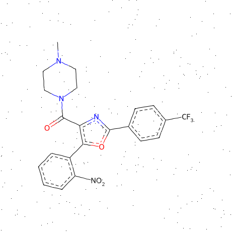 CN1CCN(C(=O)c2nc(-c3ccc(C(F)(F)F)cc3)oc2-c2ccccc2[N+](=O)[O-])CC1